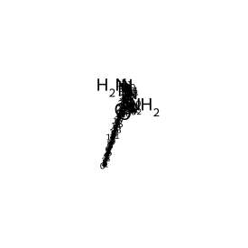 CCCCCCCCC=CCCCCCCCCCC(=O)OCC[C@H](Cn1cnc2cnc(N)nc21)OC(=O)[C@@H](N)C(C)C